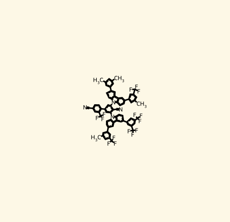 Cc1cc(C)cc(-c2ccc3c(c2)c2cc(-c4cc(C)cc(C(F)(F)F)c4)ccc2n3-c2cc(-c3ccc(C#N)cc3C(F)(F)F)cc(-n3c4ccc(-c5cc(C)cc(C(F)(F)F)c5)cc4c4cc(-c5cc(C(F)(F)F)cc(C(F)(F)F)c5)ccc43)c2C#N)c1